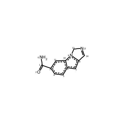 NC(=O)c1ccc2cc3n(c2c1)CN=C3